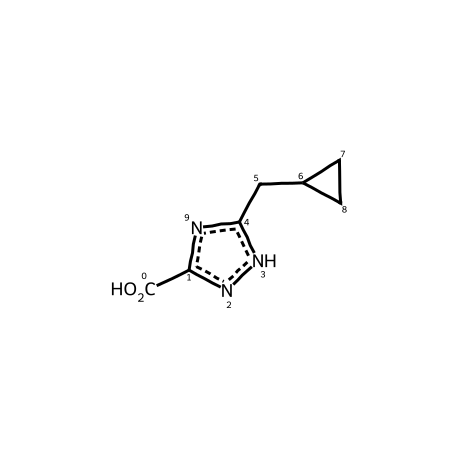 O=C(O)c1n[nH]c(CC2CC2)n1